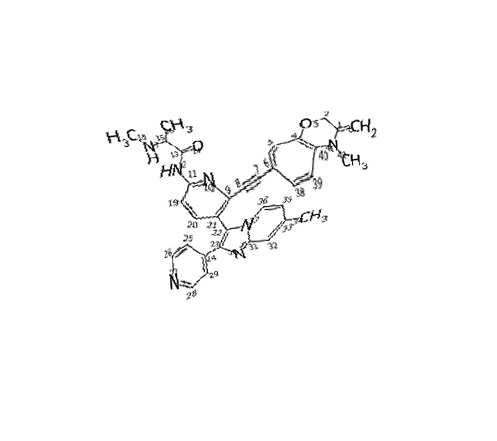 C=C1COc2cc(C#Cc3nc(NC(=O)C(C)NC)ccc3-c3c(-c4ccncc4)nc4cc(C)ccn34)ccc2N1C